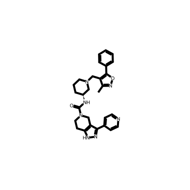 Cc1noc(-c2ccccc2)c1CN1CCC[C@@H](NC(=O)N2CCc3[nH]nc(-c4ccncc4)c3C2)C1